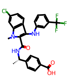 C[C@H](NC(=O)c1c(Nc2cccc(C(F)(F)F)c2)c2ccc(Cl)cc2n1C)c1ccc(C(=O)O)cc1